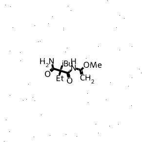 C=C(NC(=O)C(CC)(C(N)=O)C(C)CC)OC